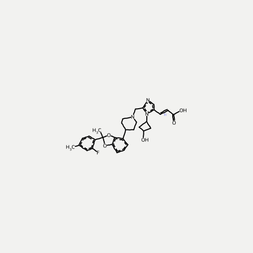 Cc1ccc(C2(C)Oc3cccc(C4CCN(Cc5ncc(/C=C/C(=O)O)n5C5CC(O)C5)CC4)c3O2)c(F)c1